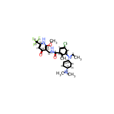 CCN(c1cc(Cl)cc(C(=O)NCc2c(OC)[nH]c(C(F)(F)F)cc2=O)c1C)[C@H]1CC[C@H](N(C)C)CC1